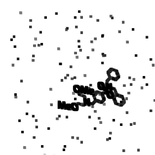 COCCN(CCOC)Cc1ccc(S(=O)(=O)N(Cc2ccccc2)Cc2ccccc2)cc1